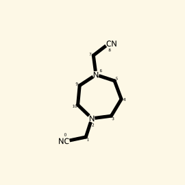 N#CCN1CCCN(CC#N)CC1